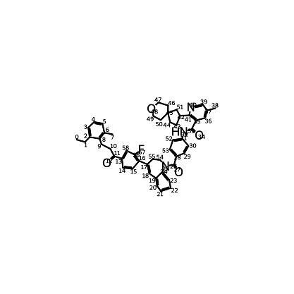 CCc1cccc(C)c1CCC(=O)c1ccc(C2=Cc3ccccc3N(C(=O)c3ccc(NC(=O)c4cc(C)cnc4C4CCC5(CCOCC5)C4)cc3)CC2)c(F)c1